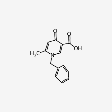 Cc1cc(=O)c(C(=O)O)cn1Cc1ccccc1